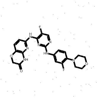 O=C1COc2ccc(Nc3nc(Nc4ccc(N5CCOCC5)c(F)c4)ncc3F)nc2N1